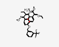 CCO/C=C(/C(=O)OC)c1ccccc1/C(ON)=C(CC)\C(=N\OC)c1ccc(OCc2cccc(C(F)(F)F)c2)cc1